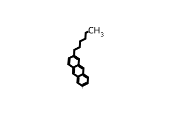 CCCCCCc1ccc2cc3c[c]ccc3cc2c1